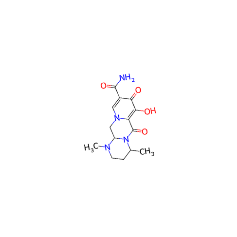 CC1CCN(C)C2Cn3cc(C(N)=O)c(=O)c(O)c3C(=O)N12